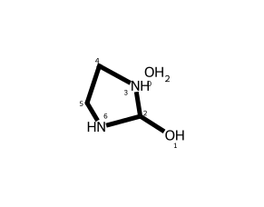 O.OC1NCCN1